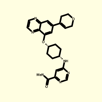 CNC(=O)c1cc(N[C@H]2CC[C@@H](Oc3cc(C4=CCOCC4)cc4nccnc34)CC2)ncn1